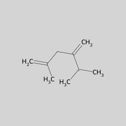 C=C(C)CC(=C)[C](C)C